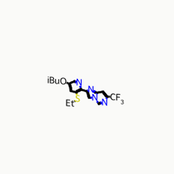 CCSc1cc(OCC(C)C)cnc1-c1cn2cnc(C(F)(F)F)cc2n1